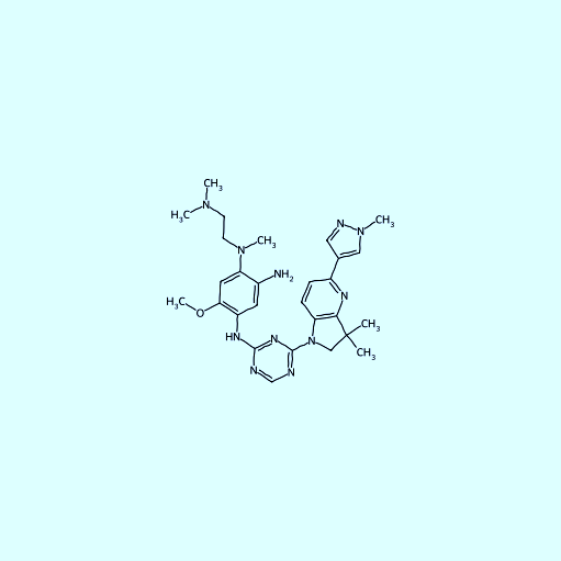 COc1cc(N(C)CCN(C)C)c(N)cc1Nc1ncnc(N2CC(C)(C)c3nc(-c4cnn(C)c4)ccc32)n1